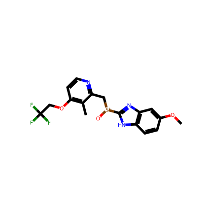 COc1ccc2[nH]c([S+]([O-])Cc3nccc(OCC(F)(F)F)c3C)nc2c1